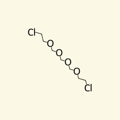 ClCCOCOCOCOCCCl